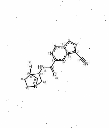 N#Cc1ccc2cnc(C(=O)NC3CN4CC[C@H]3C4)cn12